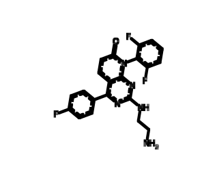 NCCNc1nc(-c2ccc(F)cc2)c2ccc(=O)n(-c3c(F)cccc3F)c2n1